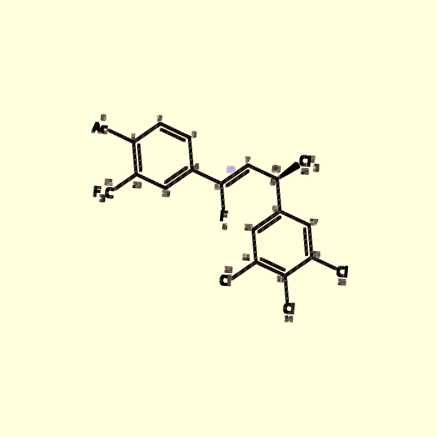 CC(=O)c1ccc(/C(F)=C/[C@H](c2cc(Cl)c(Cl)c(Cl)c2)C(F)(F)F)cc1C(F)(F)F